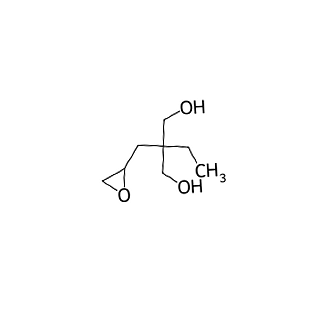 CCC(CO)(CO)CC1CO1